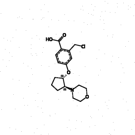 O=C(O)c1ccc(O[C@H]2CCC[C@@H]2N2CCOCC2)cc1CCl